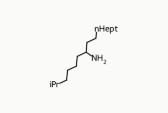 CCCCCCCCCC(N)CCCCC(C)C